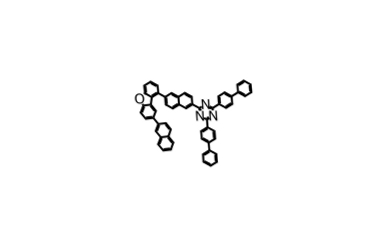 c1ccc(-c2ccc(-c3nc(-c4ccc(-c5ccccc5)cc4)nc(-c4ccc5cc(-c6cccc7oc8ccc(-c9ccc%10ccccc%10c9)cc8c67)ccc5c4)n3)cc2)cc1